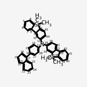 C[Si]1(C)c2ccccc2-c2cc(N(c3ccc(-c4cccc5ccccc45)cc3)c3ccc4c(c3)[Si](C)(C)c3ccccc3-4)ccc21